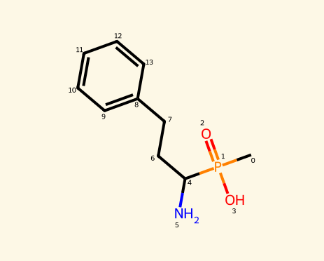 CP(=O)(O)C(N)CCc1ccccc1